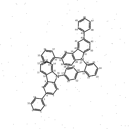 c1ccc(-c2ccc3c(c2)c2ccccc2n3-c2ccc(-c3ccccc3-n3c4ccc(-c5ccccc5)cc4c4cc(-c5ccccc5)ccc43)cc2)cc1